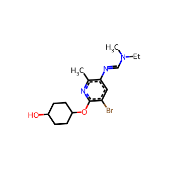 CCN(C)/C=N/c1cc(Br)c(OC2CCC(O)CC2)nc1C